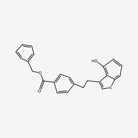 O=C(OCc1ccccc1)c1ccc(CCc2csc3cccc(O)c23)cc1